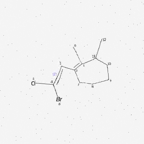 CC1=C(/C=C(/Cl)Br)CCCCC1C